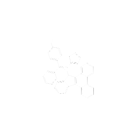 Clc1ccc([C](c2ccccc2)=[Zr]([C]2=CC=CC2)[CH]2c3ccccc3-c3c2c2ccccc2c2ccccc32)cc1